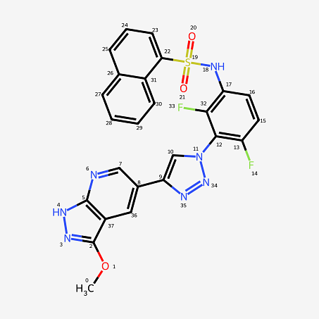 COc1n[nH]c2ncc(-c3cn(-c4c(F)ccc(NS(=O)(=O)c5cccc6ccccc56)c4F)nn3)cc12